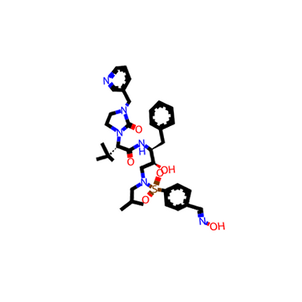 CC(C)CN(C[C@H](O)[C@H](Cc1ccccc1)NC(=O)[C@@H](N1CCN(Cc2cccnc2)C1=O)C(C)(C)C)S(=O)(=O)c1ccc(C=NO)cc1